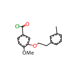 COc1ccc(C(=O)Cl)cc1OCCc1cccc(C)c1